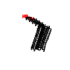 C=CC.C=CC.C=CC.C=CC.C=CC.C=CC.C=CC.C=CC.C=CC.C=CC.C=CC.C=CC.C=CC.C=CC.C=CC.OCCO